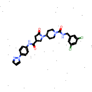 O=C(Nc1ccc(-n2cccn2)cc1)C1CC(=O)N(C2CCN(C(=O)NCc3cc(Cl)cc(Cl)c3)CC2)C1